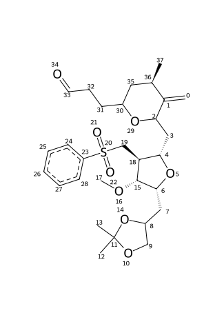 C=C1C(C[C@@H]2O[C@H](CC3COC(C)(C)O3)[C@H](OC)[C@H]2CS(=O)(=O)c2ccccc2)OC(CCC=O)C[C@H]1C